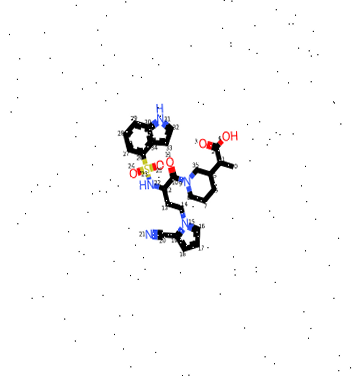 CC(C(=O)O)C1CCCN(C(=O)C(CCn2cccc2C#N)NS(=O)(=O)c2cccc3[nH]ccc23)C1